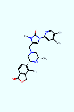 Cc1cc(-n2cc(CN3C[C@@H](c4ccc5c(c4C)COC5=O)N[C@@H](C)C3)n(C(C)C)c2=O)ncc1C#N